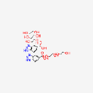 O=C(O)c1ccc2[nH]nnc2c1.O=C(O)c1ccc2[nH]nnc2c1.OCCO.OCCO.OCCO.OCCO.OCCO